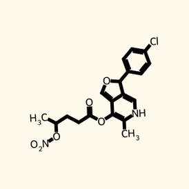 CC1=C(OC(=O)CCC(C)O[N+](=O)[O-])C2=COC(c3ccc(Cl)cc3)C2=CN1